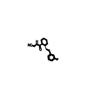 N#CCNC(=O)[C@H]1CCCC[C@@H]1CSc1cccc(F)c1